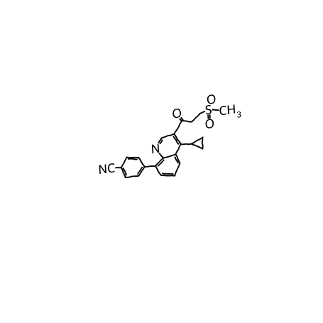 CS(=O)(=O)CCC(=O)c1cnc2c(-c3ccc(C#N)cc3)cccc2c1C1CC1